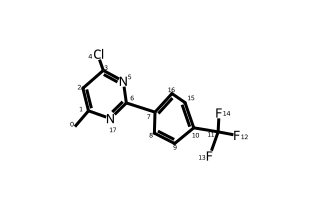 Cc1cc(Cl)nc(-c2ccc(C(F)(F)F)cc2)n1